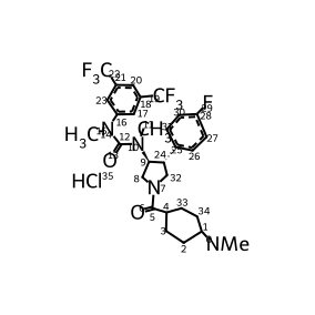 CNC1CCC(C(=O)N2C[C@@H](N(C)C(=O)N(C)c3cc(C(F)(F)F)cc(C(F)(F)F)c3)[C@H](c3ccc(F)cc3)C2)CC1.Cl